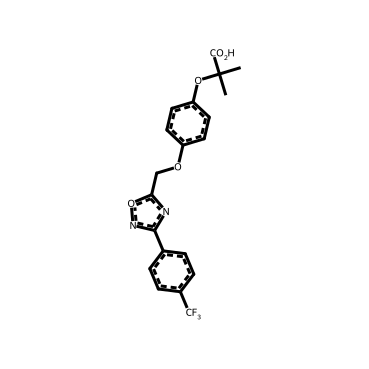 CC(C)(Oc1ccc(OCc2nc(-c3ccc(C(F)(F)F)cc3)no2)cc1)C(=O)O